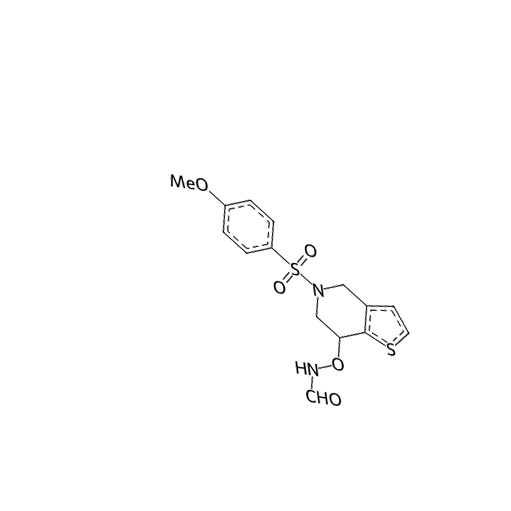 COc1ccc(S(=O)(=O)N2Cc3ccsc3C(ONC=O)C2)cc1